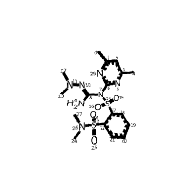 Cc1cc(C)nc(N(C(N)=NN(C)C)S(=O)(=O)c2ccccc2S(=O)(=O)N(C)C)n1